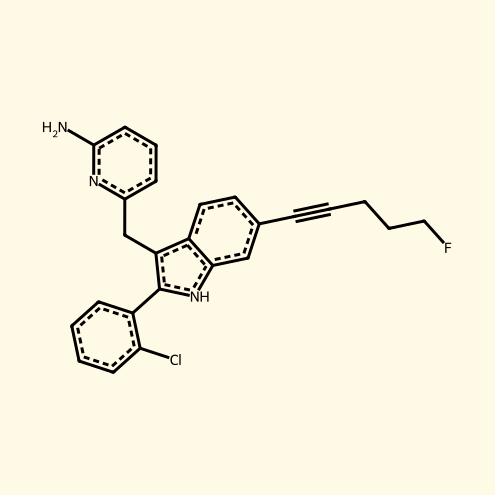 Nc1cccc(Cc2c(-c3ccccc3Cl)[nH]c3cc(C#CCCCF)ccc23)n1